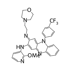 COc1ncccc1Nc1cc2nc3ccccc3n(-c3ccc(C(F)(F)F)cc3)c-2c/c1=N\CCN1CCOCC1